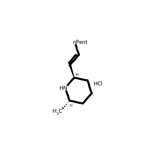 CCCCCC=C[C@H]1CCC[C@H](C)N1.Cl